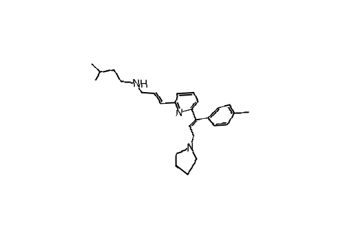 Cc1ccc(/C(=C\CN2CCCC2)c2cccc(/C=C/CNCCC(C)C)n2)cc1